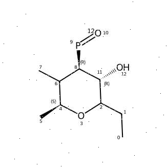 CCC1O[C@@H](C)C(C)[C@@H](P=[12O])[C@@H]1O